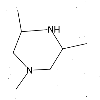 CC1CN(C)CC(C)N1